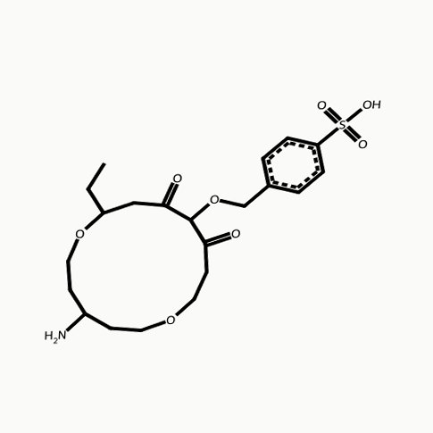 CCC1CC(=O)C(OCc2ccc(S(=O)(=O)O)cc2)C(=O)CCOCCC(N)CCO1